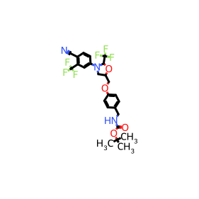 CC(C)(C)OC(=O)NCc1ccc(OCC2CN(c3ccc(C#N)c(C(F)(F)F)c3)C(C(F)(F)F)O2)cc1